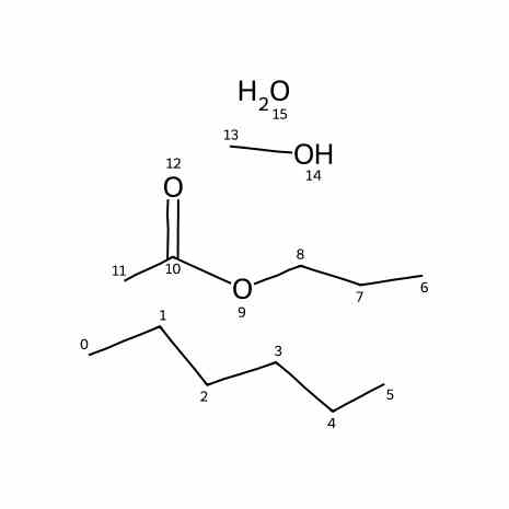 CCCCCC.CCCOC(C)=O.CO.O